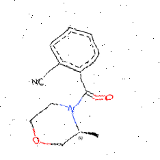 C[C@H]1COCCN1C(=O)c1ccccc1C#N